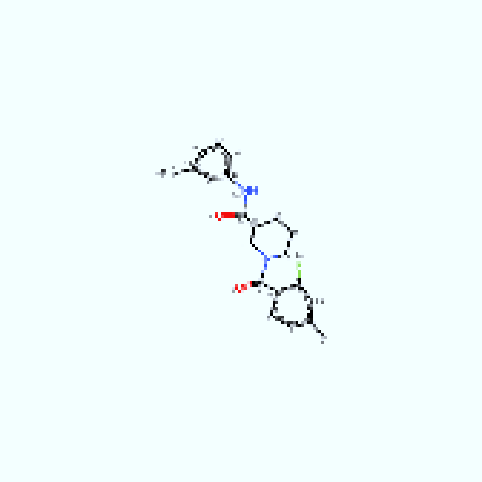 Cc1ccc(C(=O)N2CCC[C@H](C(=O)Nc3cccc(C(C)(C)C)c3)C2)c(F)c1